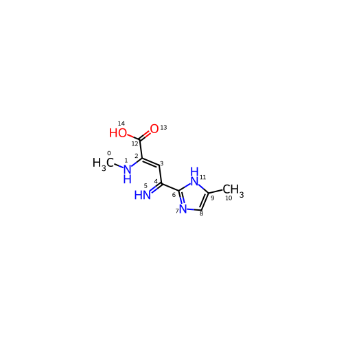 CN/C(=C\C(=N)c1ncc(C)[nH]1)C(=O)O